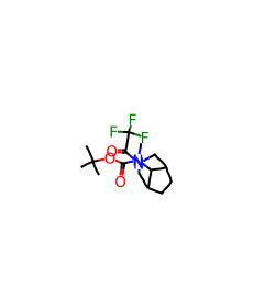 CN(C(=O)OC(C)(C)C)C1C2CCC1CN(C(=O)C(F)(F)F)C2